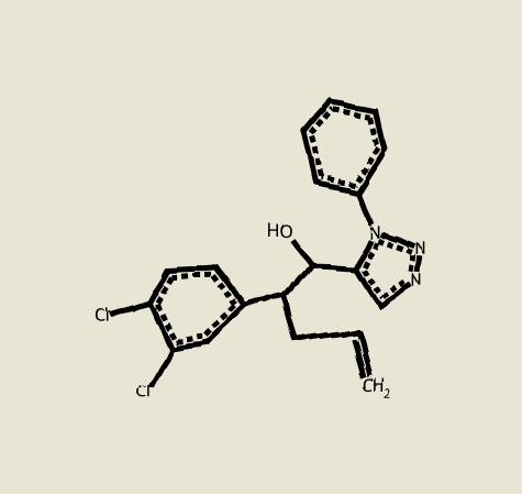 C=CCC(c1ccc(Cl)c(Cl)c1)C(O)c1cnnn1-c1ccccc1